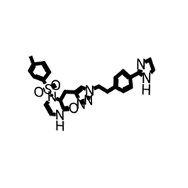 Cc1ccc(S(=O)(=O)N2C=CNC(=O)C2Cc2cn(CCc3ccc(C4=NCCN4)cc3)nn2)cc1